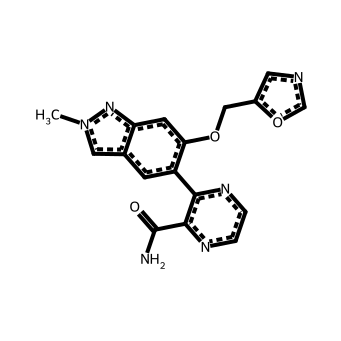 Cn1cc2cc(-c3nccnc3C(N)=O)c(OCc3cnco3)cc2n1